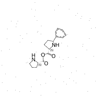 O=C(OC(=O)[C@@H]1CCC(c2ccccc2)N1)[C@@H]1CCCN1